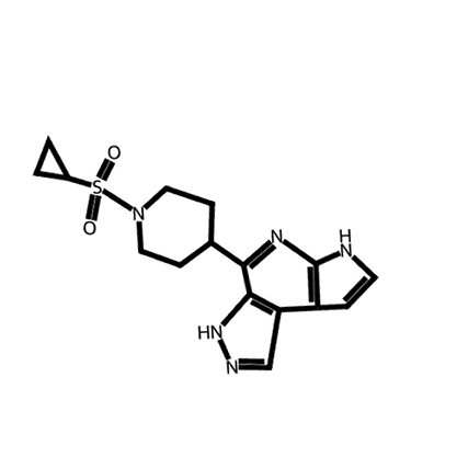 O=S(=O)(C1CC1)N1CCC(c2nc3[nH]ccc3c3cn[nH]c23)CC1